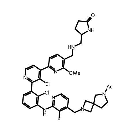 COc1nc(-c2ccnc(-c3cccc(Nc4nccc(CN5CC6(CCN(C(C)=O)C6)C5)c4F)c3Cl)c2Cl)ccc1CNCC1CCC(=O)N1